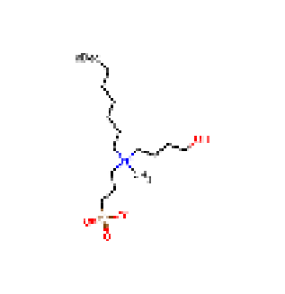 CCCCCCCCCCCCCCCC[N+](C)(CCCCO)CCCS(=O)(=O)[O-]